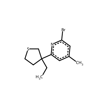 CCC1(c2cc(C)cc(Br)n2)CCSC1